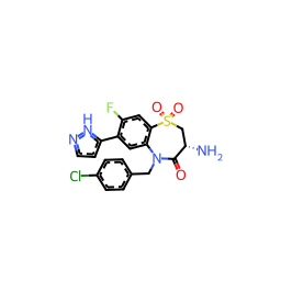 N[C@H]1CS(=O)(=O)c2cc(F)c(-c3ccn[nH]3)cc2N(Cc2ccc(Cl)cc2)C1=O